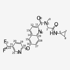 CN(CC(=O)NC1CC1)C(=O)c1ccc2cc(Oc3ccc(C(F)F)cn3)ccc2n1